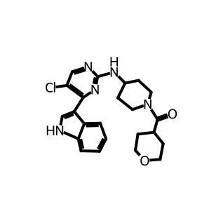 O=C(C1CCOCC1)N1CCC(Nc2ncc(Cl)c(-c3c[nH]c4ccccc34)n2)CC1